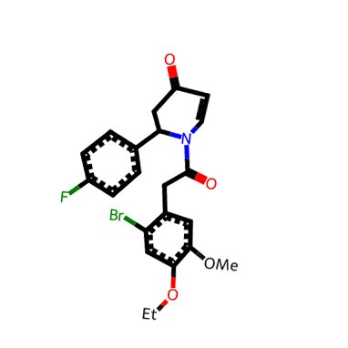 CCOc1cc(Br)c(CC(=O)N2C=CC(=O)CC2c2ccc(F)cc2)cc1OC